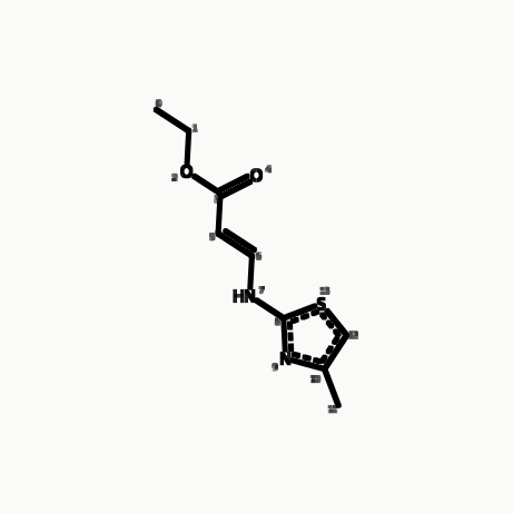 CCOC(=O)C=CNc1nc(C)cs1